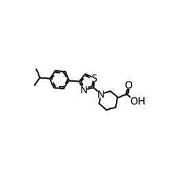 CC(C)c1ccc(-c2csc(N3CCCC(C(=O)O)C3)n2)cc1